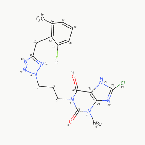 CCCCn1c(=O)n(CCCn2nnc(Cc3c(F)cccc3C(F)(F)F)n2)c(=O)c2[nH]c(Cl)nc21